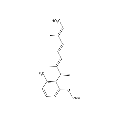 C=C(/C(C)=C/C=C/C(C)=C/C(=O)O)c1c(OCCCCCCCCC)cccc1C(F)(F)F